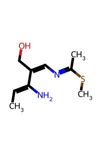 C/C=C(N)/C(=C\N=C(/C)SC)CO